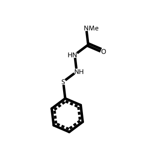 CNC(=O)NNSc1ccccc1